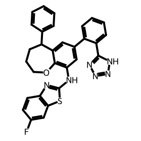 Fc1ccc2nc(Nc3cc(-c4ccccc4-c4nnn[nH]4)cc4c3OCCCC4c3ccccc3)sc2c1